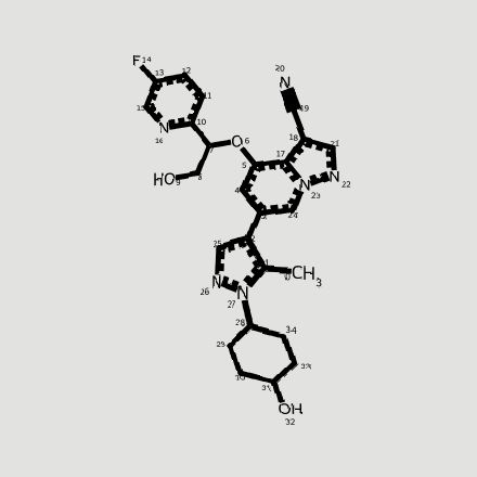 Cc1c(-c2cc(OC(CO)c3ccc(F)cn3)c3c(C#N)cnn3c2)cnn1C1CCC(O)CC1